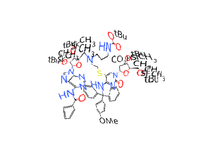 COc1ccc(C(Nc2nc(=O)n([C@@H]3C[C@H](O[Si](C)(C)C(C)(C)C)[C@@H](CO[Si](C)(C)C(C)(C)C)O3)cc2SCCN(CC[C@H](NC(=O)OC(C)(C)C)C(=O)O)C[C@H]2O[C@@H](n3cnc4c(NC(=O)c5ccccc5)ncnc43)[C@H](O[Si](C)(C)C(C)(C)C)[C@@H]2O[Si](C)(C)C(C)(C)C)(c2ccccc2)c2ccccc2)cc1